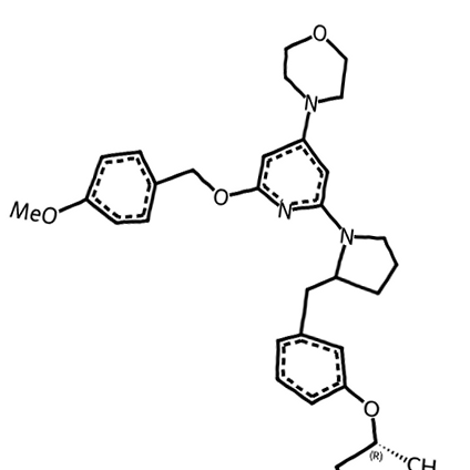 COC[C@@H](C)Oc1cccc(CC2CCCN2c2cc(N3CCOCC3)cc(OCc3ccc(OC)cc3)n2)c1